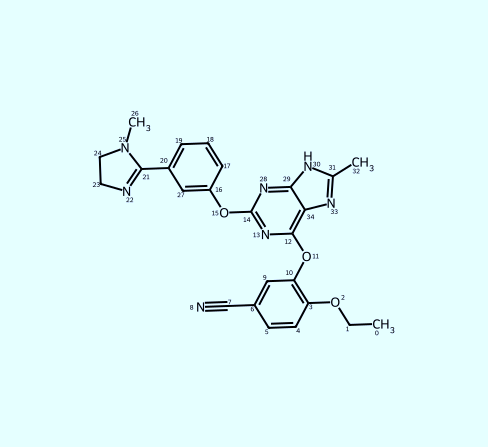 CCOc1ccc(C#N)cc1Oc1nc(Oc2cccc(C3=NCCN3C)c2)nc2[nH]c(C)nc12